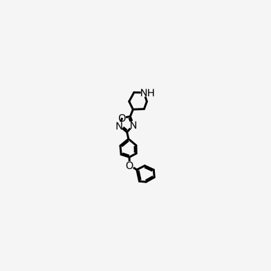 c1ccc(Oc2ccc(-c3noc(C4CCNCC4)n3)cc2)cc1